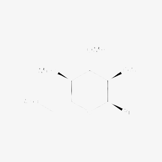 CO[C@@H]1[C@@H](OC(C)=O)[C@@H](Br)O[C@H](COC(C)=O)[C@H]1OC